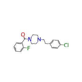 O=C(c1ccccc1F)N1CCN(CCc2ccc(Cl)cc2)CC1